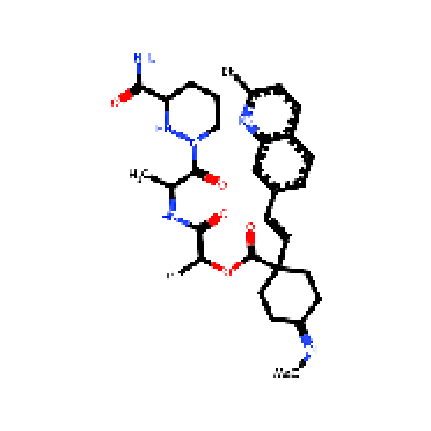 CCc1ccc2ccc(/C=C/C3(C(=O)OC(C(=O)NC(C)C(=O)N4CCCC(C(N)=O)N4)C(C)C)CCC(=NOC)CC3)cc2n1